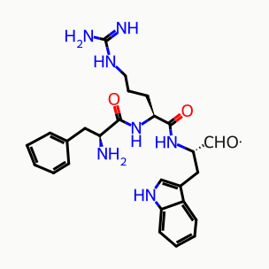 N=C(N)NCCC[C@H](NC(=O)[C@@H](N)Cc1ccccc1)C(=O)N[C@H]([C]=O)Cc1c[nH]c2ccccc12